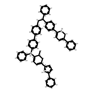 CC1CC(c2ccc(-c3ccccc3)s2)=CC=C1N(c1ccccc1)c1ccc(-c2ccc(CC(c3ccccc3)c3ccc(C4=CC=C(c5ccccc5)CS4)cc3)cc2)cc1